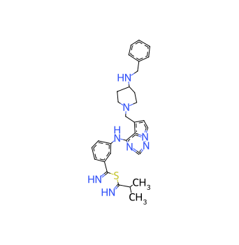 CC(C)C(=N)SC(=N)c1cccc(Nc2ncnn3ccc(CN4CCC(NCc5ccccc5)CC4)c23)c1